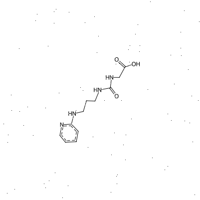 O=C(O)CNC(=O)NCCCNc1ccccn1